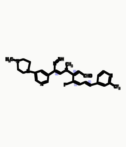 CN1CCN(c2cncc(/C(=C/N(C)C(=C/C=O)/C(F)=C\C=C\c3ccnc(C(F)(F)F)c3)N=N)c2)CC1